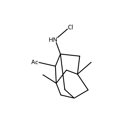 CC(=O)C1C2(C)CC3CC(C)(C2)CC1(NCl)C3